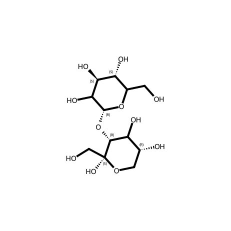 OCC1O[C@H](O[C@@H]2C(O)[C@H](O)CO[C@@]2(O)CO)C(O)[C@@H](O)[C@@H]1O